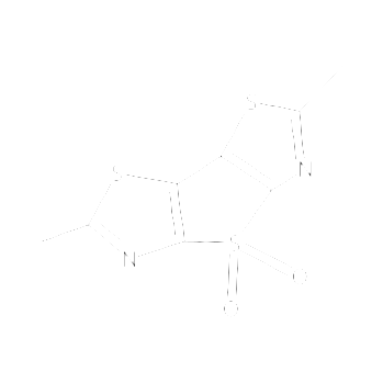 Cc1nc2c(s1)-c1sc(C)nc1S2(=O)=O